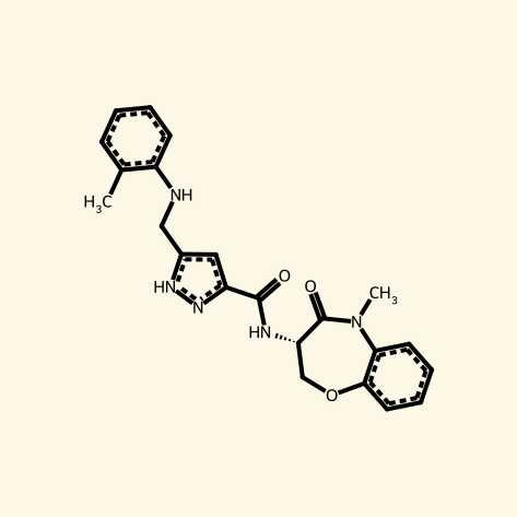 Cc1ccccc1NCc1cc(C(=O)N[C@H]2COc3ccccc3N(C)C2=O)n[nH]1